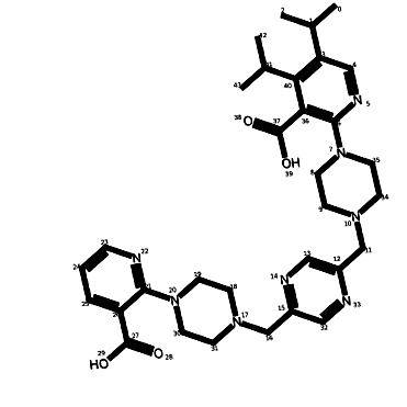 CC(C)c1cnc(N2CCN(Cc3cnc(CN4CCN(c5ncccc5C(=O)O)CC4)cn3)CC2)c(C(=O)O)c1C(C)C